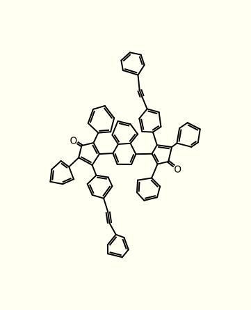 O=C1C(c2ccccc2)=C(c2ccc(C#Cc3ccccc3)cc2)C(c2ccc(C3=C(c4ccccc4)C(=O)C(c4ccccc4)=C3c3ccc(C#Cc4ccccc4)cc3)c3ccccc23)=C1c1ccccc1